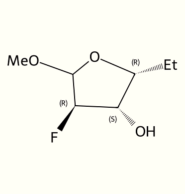 CC[C@H]1OC(OC)[C@H](F)[C@H]1O